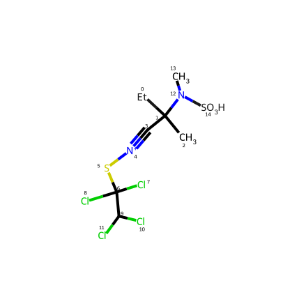 CCC(C)(C#[N+]SC(Cl)(Cl)C(Cl)Cl)N(C)S(=O)(=O)O